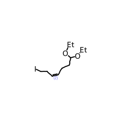 CCOC(CC/C=C\CCI)OCC